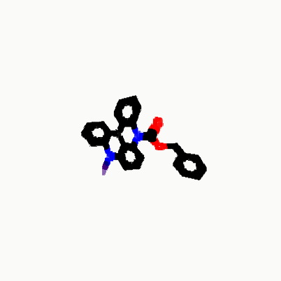 O=C(OCc1ccccc1)N1c2ccccc2B2c3ccccc3N(I)c3cccc1c32